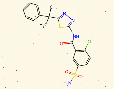 CC(C)(c1ccccc1)c1nnc(NC(=O)c2cc(S(N)(=O)=O)ccc2Cl)s1